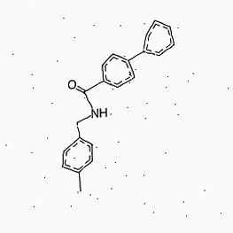 Cc1ccc(CNC(=O)c2ccc(-c3ccccc3)cc2)cc1